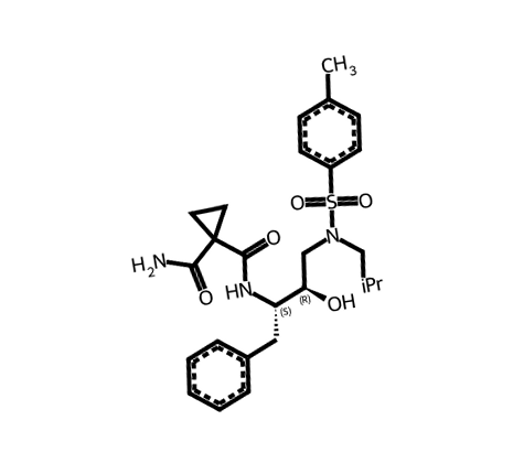 Cc1ccc(S(=O)(=O)N(CC(C)C)C[C@@H](O)[C@H](Cc2ccccc2)NC(=O)C2(C(N)=O)CC2)cc1